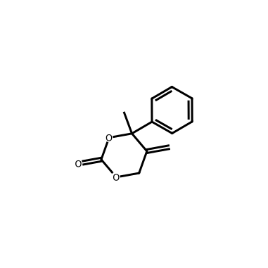 C=C1COC(=O)OC1(C)c1ccccc1